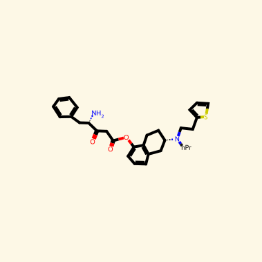 CCCN(CCc1cccs1)[C@H]1CCc2c(cccc2OC(=O)CC(=O)[C@@H](N)Cc2ccccc2)C1